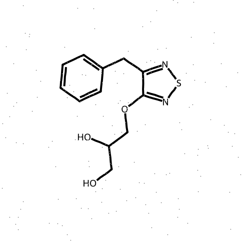 OCC(O)COc1nsnc1Cc1ccccc1